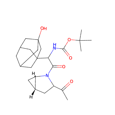 CC(=O)C1C[C@@H]2C[C@@H]2N1C(=O)C(NC(=O)OC(C)(C)C)C12CC3CC(CC(O)(C3)C1)C2